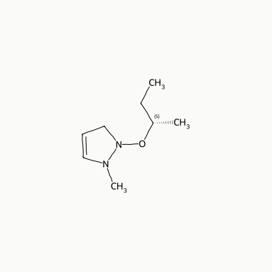 CC[C@H](C)ON1CC=CN1C